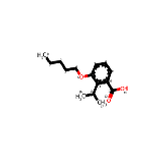 CCCCCOc1cccc(C(=O)O)c1C(C)C